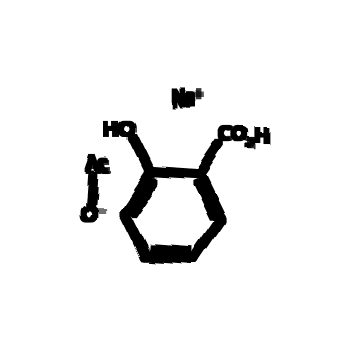 CC(=O)[O-].O=C(O)c1ccccc1O.[Na+]